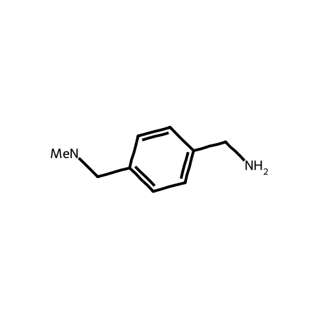 [CH]NCc1ccc(CN)cc1